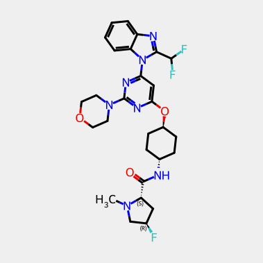 CN1C[C@H](F)C[C@H]1C(=O)N[C@H]1CC[C@H](Oc2cc(-n3c(C(F)F)nc4ccccc43)nc(N3CCOCC3)n2)CC1